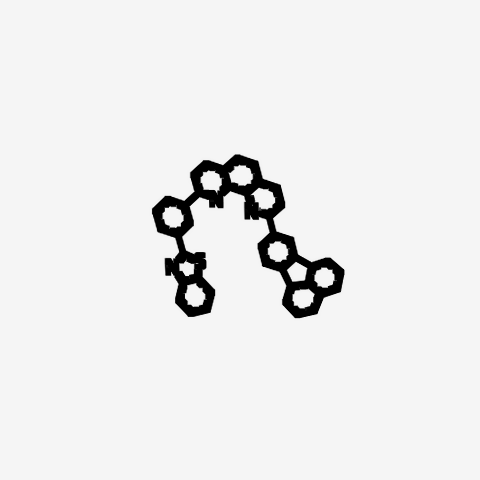 c1cc(-c2ccc3ccc4ccc(-c5ccc6c(c5)-c5cccc7cccc-6c57)nc4c3n2)cc(-c2nc3ccccc3s2)c1